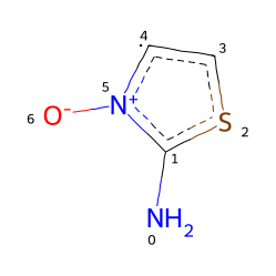 Nc1sc[c][n+]1[O-]